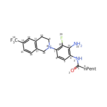 CCCCCC(=O)Nc1ccc(N2CCc3cc(C(F)(F)F)ccc3C2)c(F)c1N